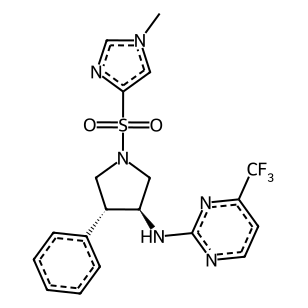 Cn1cnc(S(=O)(=O)N2C[C@@H](Nc3nccc(C(F)(F)F)n3)[C@H](c3ccccc3)C2)c1